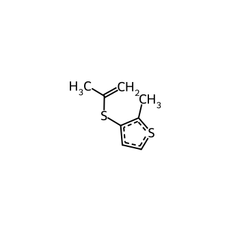 C=C(C)Sc1ccsc1C